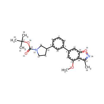 COc1cc(-c2cccc(C3CCN(C(=O)OC(C)(C)C)C3)c2)cc2onc(C)c12